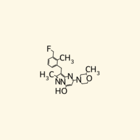 Cc1nn2c(O)cc(N3CCOC(C)C3)nc2c1Cc1cccc(CF)c1C